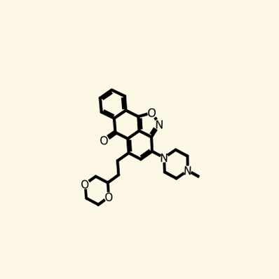 CN1CCN(c2cc(CCC3COCCO3)c3c4c(onc24)-c2ccccc2C3=O)CC1